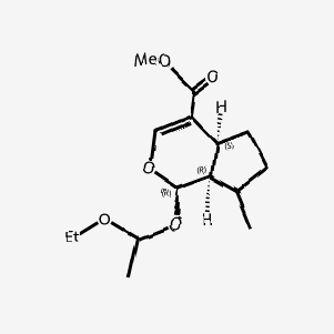 CCOC(C)O[C@H]1OC=C(C(=O)OC)[C@H]2CCC(C)[C@@H]12